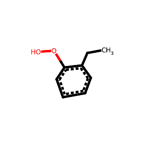 CCc1ccccc1OO